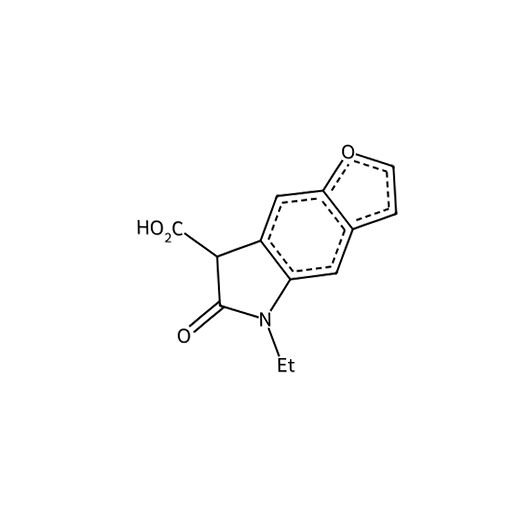 CCN1C(=O)C(C(=O)O)c2cc3occc3cc21